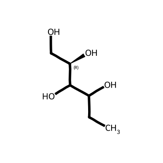 CCC(O)C(O)[C@H](O)CO